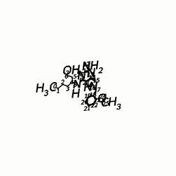 CCCC[C@@H](CCO)Nc1nc(N)nc2cn(Cc3ccccc3OC)nc12